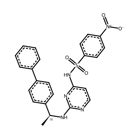 C[C@H](Nc1nccc(NS(=O)(=O)c2ccc([N+](=O)[O-])cc2)n1)c1ccc(-c2ccccc2)cc1